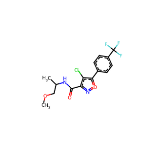 COCC(C)NC(=O)c1noc(-c2ccc(C(F)(F)F)cc2)c1Cl